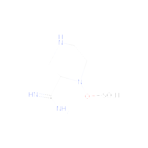 N=C(N)C1CNCCN1OS(=O)(=O)O